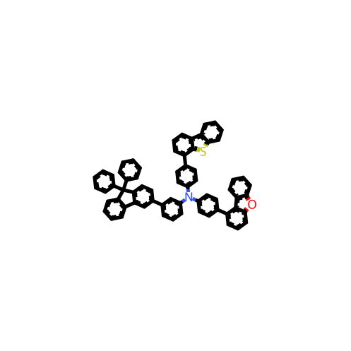 c1ccc(C2(c3ccccc3)c3ccccc3-c3cc(-c4cccc(N(c5ccc(-c6cccc7c6sc6ccccc67)cc5)c5ccc(-c6cccc7oc8ccccc8c67)cc5)c4)ccc32)cc1